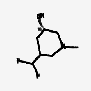 CN1CC(C(F)F)C[C@H](O)C1